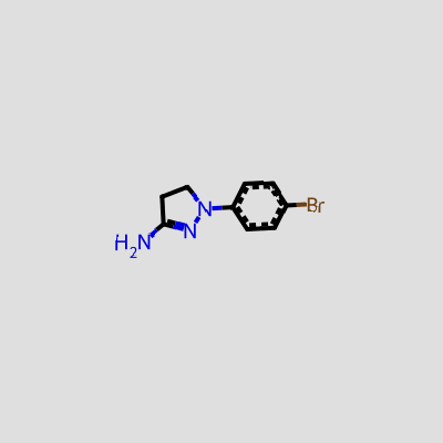 NC1=NN(c2ccc(Br)cc2)CC1